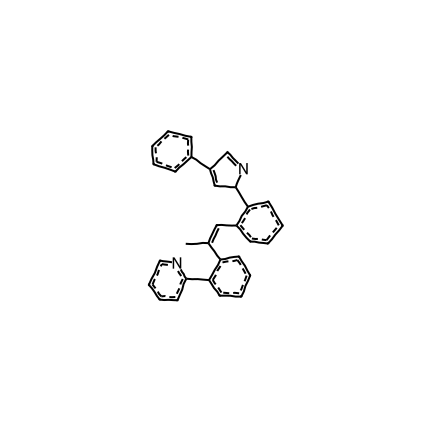 C/C(=C/c1ccccc1C1C=C(c2ccccc2)C=N1)c1ccccc1-c1ccccn1